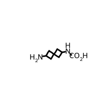 NC1CC2(C1)CC(NC(=O)O)C2